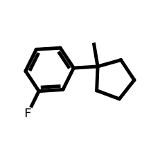 CC1(c2cccc(F)c2)CCCC1